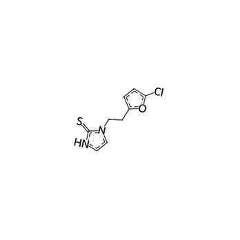 S=c1[nH]ccn1CCc1ccc(Cl)o1